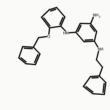 Nc1cc(NCCc2ccccc2)cc(Nc2cc[c]cc2OCc2ccccc2)c1